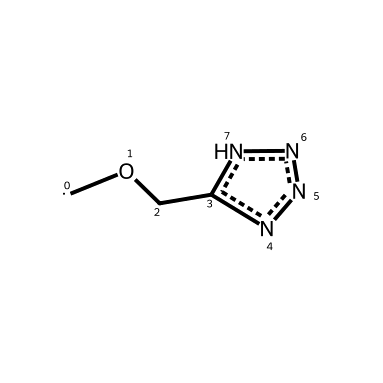 [CH2]OCc1nnn[nH]1